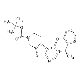 C[C@H](c1ccccc1)n1cnc2sc3c(c2c1=O)CCN(C(=O)OC(C)(C)C)C3